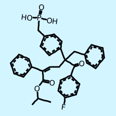 CC(C)OC(=O)/C(=C\CC(Cc1ccccc1)(C(=O)c1ccc(F)cc1)c1ccc(CP(=O)(O)O)cc1)c1ccccc1